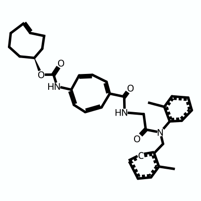 Cc1ccccc1CN(C(=O)CNC(=O)C1=C/C=C\C(NC(=O)O[C@@H]2CC/C=C/CCC2)=C/C=C\1)c1ccccc1C